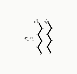 CCCCCN.CCCCCN.Cl.Cl